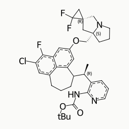 C[C@@H](c1cccnc1NC(=O)OC(C)(C)C)C1CCCc2cc(Cl)c(F)c3cc(OC[C@@]45CCCN4C[C@]4(CC4(F)F)C5)cc1c23